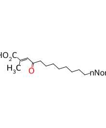 CCCCCCCCCCCCCCCCCC(=O)C=C(C)C(=O)O